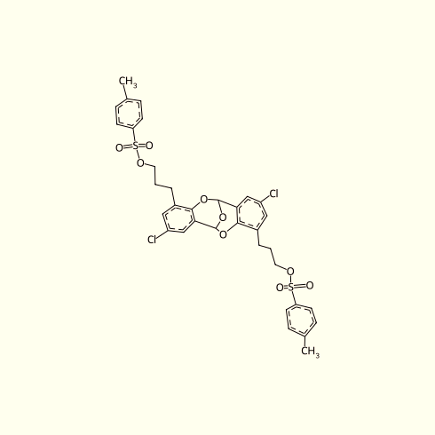 Cc1ccc(S(=O)(=O)OCCCc2cc(Cl)cc3c2OC2OC3Oc3c(CCCOS(=O)(=O)c4ccc(C)cc4)cc(Cl)cc32)cc1